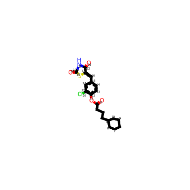 O=C(CCCC1CCCCC1)Oc1ccc(/C=C2\SC(=O)NC2=O)cc1Cl